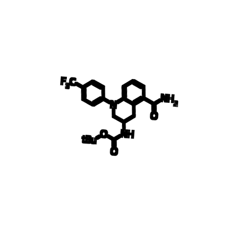 CC(C)(C)OC(=O)NC1Cc2c(C(N)=O)cccc2N(c2ccc(C(F)(F)F)cc2)C1